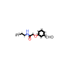 CC(C)CCNC(=O)COc1cccc(C=O)c1